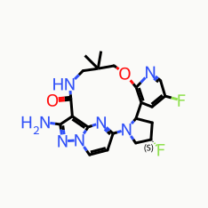 CC1(C)CNC(=O)c2c(N)nn3ccc(nc23)N2C[C@@H](F)CC2c2cc(F)cnc2OC1